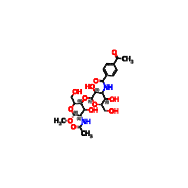 CO[C@@H]1OC(CO)[C@@H](O[C@@H]2OC(CO)[C@H](O)C(NC(=O)c3ccc(C(C)=O)cc3)[C@@H]2O)C(O)[C@@H]1NC(C)=O